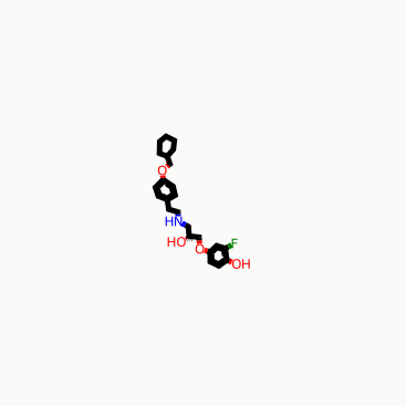 Oc1ccc(OC[C@@H](O)CNCCc2ccc(OC[C]3CCCCC3)cc2)cc1F